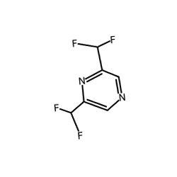 FC(F)c1cncc(C(F)F)n1